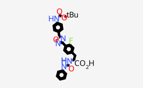 CC(C)(C)OC(=O)Nc1ccc(-c2nc(-c3ccc(CC(NC(=O)Nc4ccccc4)C(=O)O)cc3F)no2)cc1